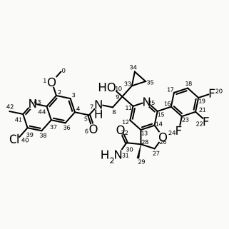 COc1cc(C(=O)NCC(O)(c2cc3c(c(-c4ccc(F)c(F)c4F)n2)OC[C@]3(C)C(N)=O)C2CC2)cc2cc(Cl)c(C)nc12